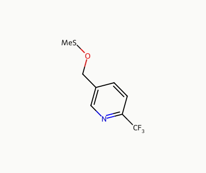 CSOCc1ccc(C(F)(F)F)nc1